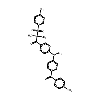 Cc1ccc(C(=O)c2ccc(N(C)c3ccc(C(=O)C(C)(C)S(=O)(=O)c4ccc(C)cc4)cc3)cc2)cc1